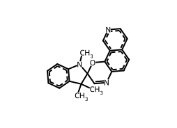 CN1c2ccccc2C(C)(C)C12C=Nc1ccc3ccncc3c1O2